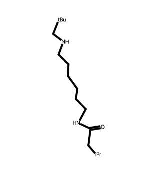 CC(C)CC(=O)NCCCCCCNCC(C)(C)C